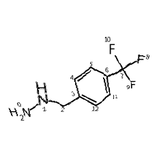 NNCc1ccc(C(F)(F)F)cc1